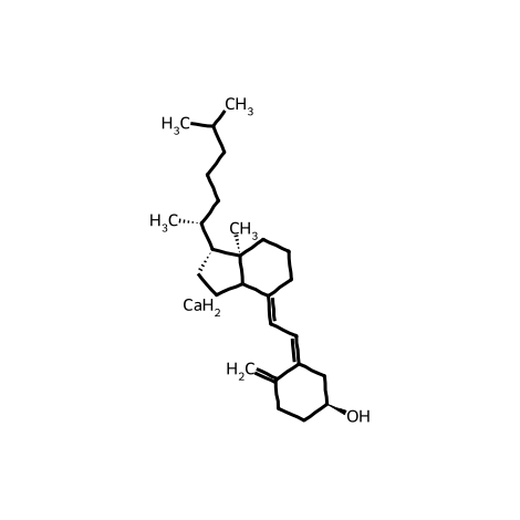 C=C1CC[C@H](O)C/C1=C/C=C1CCC[C@@]2(C)C1CC[C@@H]2[C@H](C)CCCC(C)C.[CaH2]